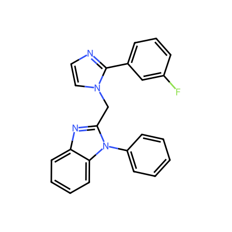 Fc1cccc(-c2nccn2Cc2nc3ccccc3n2-c2ccccc2)c1